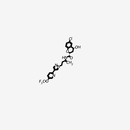 C=C(CCn1cc(-c2ccc(OC(F)(F)F)cn2)cn1)NC(=O)[C@H]1C[C@@H](O)c2cc(Cl)ccc2O1